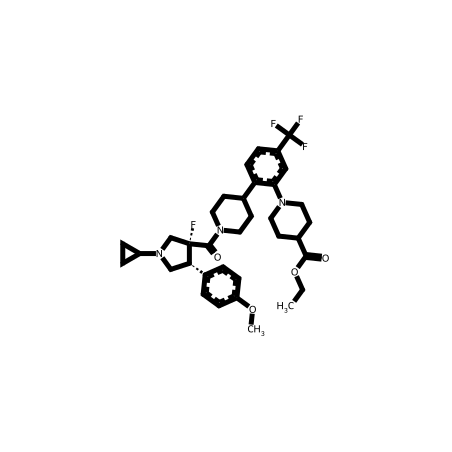 CCOC(=O)C1CCN(c2cc(C(F)(F)F)ccc2C2CCN(C(=O)[C@]3(F)CN(C4CC4)C[C@H]3c3ccc(OC)cc3)CC2)CC1